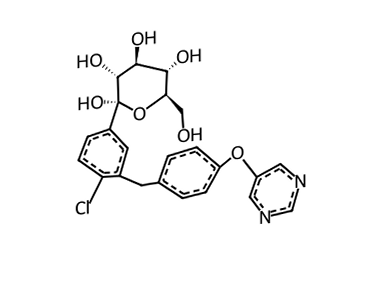 OC[C@H]1O[C@@](O)(c2ccc(Cl)c(Cc3ccc(Oc4cncnc4)cc3)c2)[C@H](O)[C@@H](O)[C@@H]1O